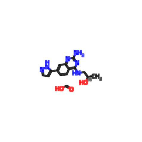 C[C@@H](O)CNc1nc(N)nc2cc(-c3ccn[nH]3)ccc12.O=CO